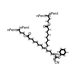 CCCCCC(CCCCC)CCOC(=O)CCCCCCCN(CCCCCCCC(=O)OCCC(CCCCC)CCCCC)CCCN/C(=N/C#N)Oc1ccccc1